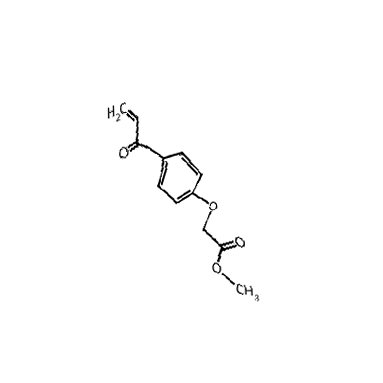 C=CC(=O)c1ccc(OCC(=O)OC)cc1